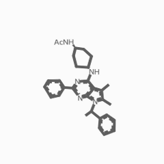 CC(=O)N[C@H]1CC[C@H](Nc2nc(-c3ccccc3)nc3c2c(C)c(C)n3C(C)c2ccccc2)CC1